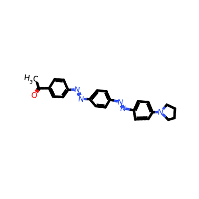 CC(=O)c1ccc(N=Nc2ccc(N=Nc3ccc(N4CCCC4)cc3)cc2)cc1